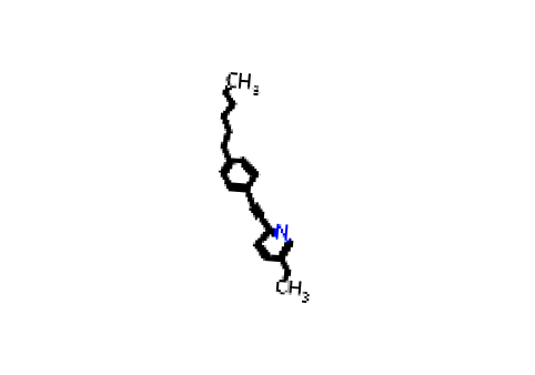 CCCCCCc1ccc(C#Cc2ccc(CC)cn2)cc1